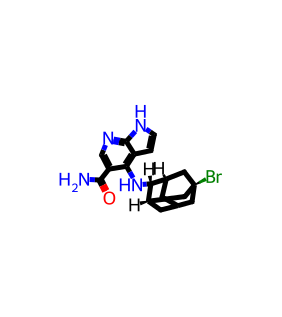 NC(=O)c1cnc2[nH]ccc2c1N[C@@H]1[C@@H]2CC3C[C@H]1C[C@@](Br)(C3)C2